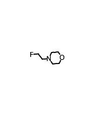 FCCN1CCOCC1